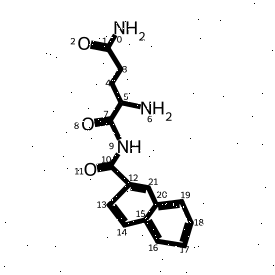 NC(=O)CCC(N)C(=O)NC(=O)c1ccc2ccccc2c1